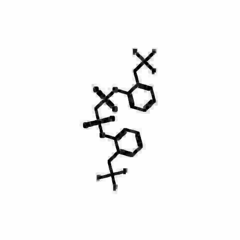 O=S(=O)(CS(=O)(=O)Oc1ccccc1CC(F)(F)F)Oc1ccccc1CC(F)(F)F